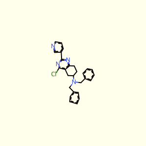 Clc1nc(-c2cccnc2)nc2c1CC(N(Cc1ccccc1)Cc1ccccc1)CC2